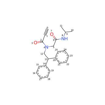 C#CC(=O)N(CC(=O)NC(C)C)CC(c1ccccc1)c1ccccc1